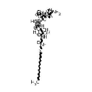 CCCCCCCCCCC=CC=CC=CSCCNC(=O)CCNC(=O)[C@H](O)C(C)(C)COP(=O)(O)OP(=O)(O)OC[C@H]1O[C@@H](n2cnc3c(N)ncnc32)[C@H](O)[C@@H]1OP(=O)(O)O